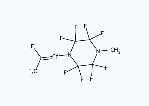 CN1C(F)(F)C(F)(F)[N](/[Cf]=[C](\F)C(F)(F)F)C(F)(F)C1(F)F